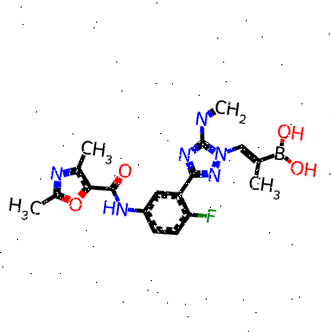 C=Nc1nc(-c2cc(NC(=O)c3oc(C)nc3C)ccc2F)nn1/C=C(\C)B(O)O